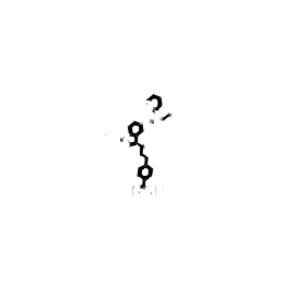 Cl.Cn1cc(C(=O)CCc2ccc(C(=N)N)cc2)c2cc(OC(=O)N(CCC(=O)O)c3ccccn3)ccc21